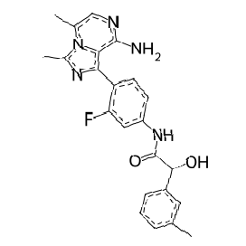 Cc1cccc(C(O)C(=O)Nc2ccc(-c3nc(C)n4c(C)cnc(N)c34)c(F)c2)c1